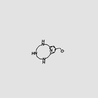 [O]Cc1cc2nc(c1)CNCCNCCNC2